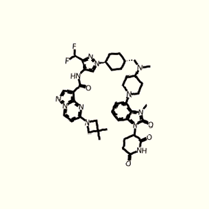 CN(C[C@H]1CC[C@H](n2cc(NC(=O)c3cnn4ccc(N5CC(C)(C)C5)nc34)c(C(F)F)n2)CC1)C1CCN(c2cccc3c2n(C)c(=O)n3C2CCC(=O)NC2=O)CC1